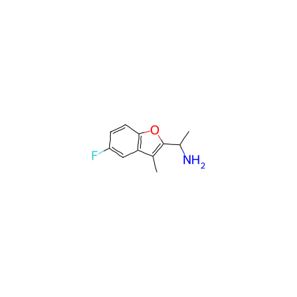 Cc1c(C(C)N)oc2ccc(F)cc12